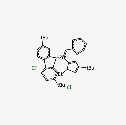 CCC1C=C(C(C)(C)C)C=[C]1/[Zr+2](=[CH]\c1ccccc1)[CH]1c2cc(C(C)(C)C)ccc2-c2ccc(C(C)(C)C)cc21.[Cl-].[Cl-]